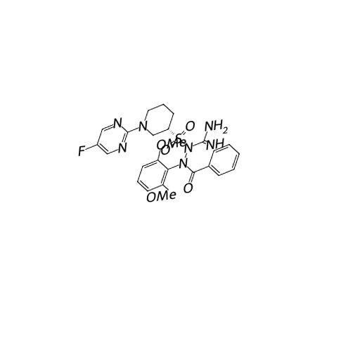 COc1cccc(OC)c1N(C(=O)c1ccccc1)N(C(=N)N)S(=O)(=O)[C@H]1CCCN(c2ncc(F)cn2)C1